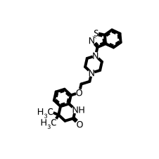 CC1(C)CC(=O)Nc2c(OCCN3CCN(c4nsc5ccccc45)CC3)cccc21